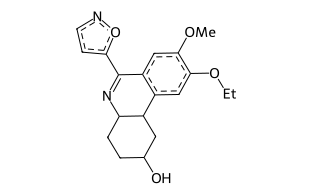 CCOc1cc2c(cc1OC)C(c1ccno1)=NC1CCC(O)CC21